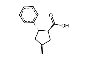 C=C1C[C@H](C(=O)O)[C@@H](c2ccccc2)C1